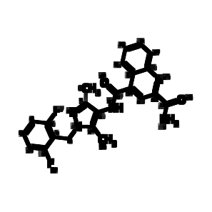 Cc1nn(Cc2c(F)cccc2F)c(C)c1NC(=O)c1cc(C(N)=O)nc2ccccc12